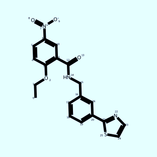 CCOc1ccc([N+](=O)[O-])cc1C(=O)NCc1cccc(-c2nccs2)c1